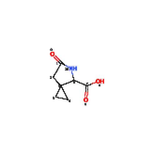 O=C1CC2(CC2)C(C(=O)O)N1